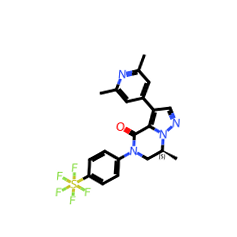 Cc1cc(-c2cnn3c2C(=O)N(c2ccc(S(F)(F)(F)(F)F)cc2)C[C@@H]3C)cc(C)n1